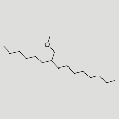 CCCCCCCCC(CCCCCC)COC